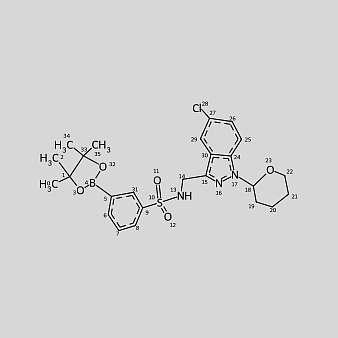 CC1(C)OB(c2cccc(S(=O)(=O)NCc3nn(C4CCCCO4)c4ccc(Cl)cc34)c2)OC1(C)C